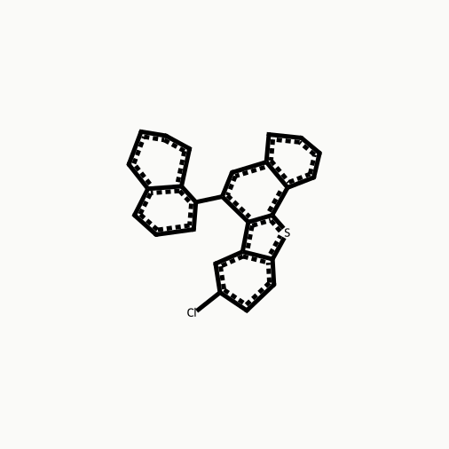 Clc1ccc2sc3c4ccccc4cc(-c4cccc5ccccc45)c3c2c1